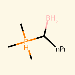 BC(CCC)[PH](C)(C)C